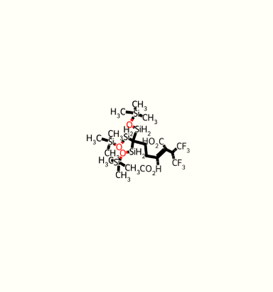 C[Si](C)(C)O[SiH2]C(CC/C(C(=O)O)=C(\C(=O)O)C(C(F)(F)F)C(F)(F)F)([SiH2]O[Si](C)(C)C)[SiH2]O[Si](C)(C)C